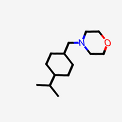 CC(C)C1CCC(CN2CCOCC2)CC1